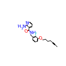 CC#CCCCCOc1cccc(CNC(=O)c2cccnc2N)c1F